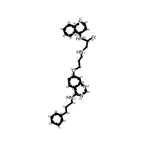 CCC(CNCCCOc1ccc2c(NCCCc3ccccc3)ncnc2c1)Nc1ccnc2ccccc12